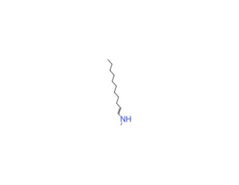 CCCCCCCCCC=CNC